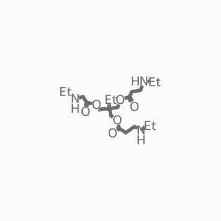 CCNCCC(=O)OCC(CC)(COC(=O)CCNCC)COC(=O)CNCC